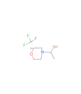 CC(S)N1CCO[C@H](C(F)(F)F)C1